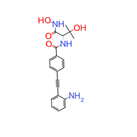 CC(C)(O)[C@H](NC(=O)c1ccc(C#Cc2ccccc2N)cc1)C(=O)NO